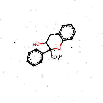 O=S(=O)(O)C1(c2ccccc2)Oc2ccccc2CC1O